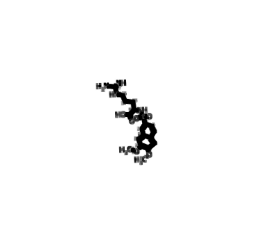 COc1cc2ccc(S(=O)(=O)NC(CCCNC(=N)N)C(=O)O)cc2cc1OC